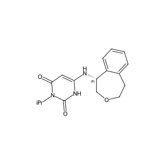 CC(C)n1c(=O)cc(N[C@H]2COCCc3ccccc32)[nH]c1=O